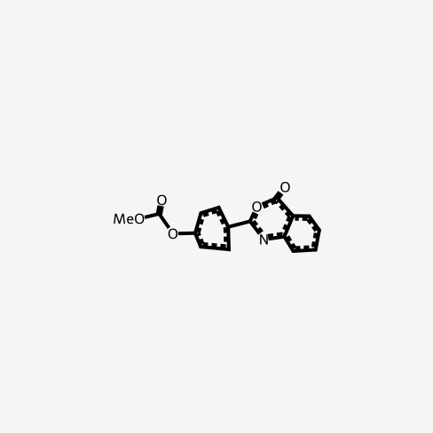 COC(=O)Oc1ccc(-c2nc3ccccc3c(=O)o2)cc1